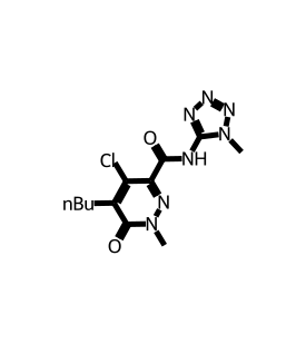 CCCCc1c(Cl)c(C(=O)Nc2nnnn2C)nn(C)c1=O